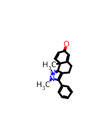 Cn1nc2c(c1-c1ccccc1)CCC1=CC(=O)C=CC12C